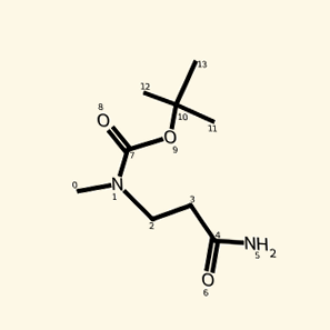 CN(CCC(N)=O)C(=O)OC(C)(C)C